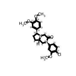 COc1cc(N2C[C@@H]3CC[C@@H](c4ccc(OC)c(OC)c4)N3CC2=O)ccc1Cl